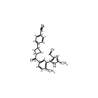 Cc1nc(C=O)c(-c2cc(C(=O)N3CC(c4ccc(C#N)cc4)C3)ccc2C)[nH]1